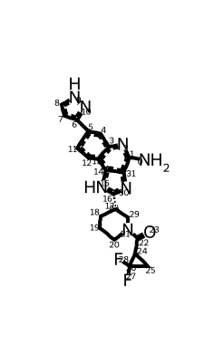 Nc1nc2cc(-c3cc[nH]n3)ccc2c2[nH]c([C@H]3CCCN(C(=O)C4CC4(F)F)C3)nc12